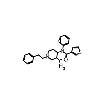 C[C@H]1CN(CCc2ccccc2)CC[C@H]1N(C(=O)c1ccsc1)c1ccccn1